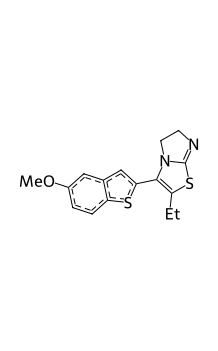 CCC1=C(c2cc3cc(OC)ccc3s2)N2CCN=C2S1